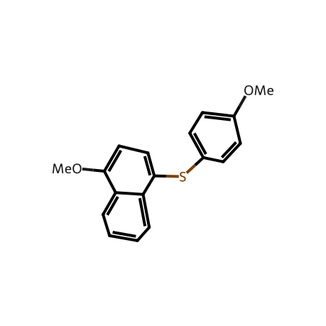 COc1ccc(Sc2ccc(OC)c3ccccc23)cc1